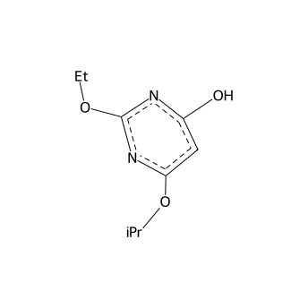 CCOc1nc(O)cc(OC(C)C)n1